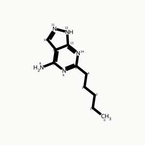 CCCCCc1nc(N)c2cn[nH]c2n1